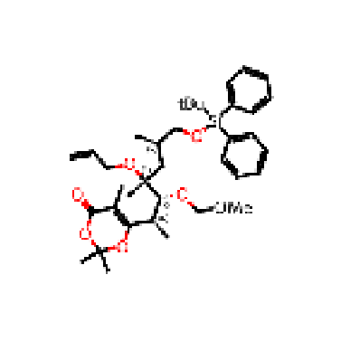 C=CCO[C@](C)(C[C@@H](C)CO[Si](c1ccccc1)(c1ccccc1)C(C)(C)C)[C@H](OCOC)[C@@H](C)C1=C(C)C(=O)OC(C)(C)O1